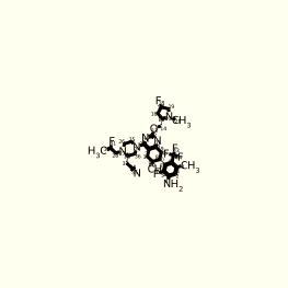 Cc1cc(N)c(F)c([C@H]2Cc3nc(OC[C@@H]4C[C@@H](F)CN4C)nc(N4CCN(CC(C)F)[C@@H](CC#N)C4)c3C[C@@H]2C)c1C(F)(F)F